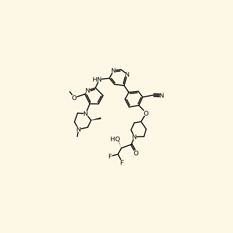 COc1nc(Nc2cc(-c3ccc(OC4CCN(C(=O)[C@@H](O)C(F)F)CC4)c(C#N)c3)ncn2)ccc1N1CCN(C)C[C@@H]1C